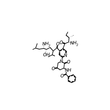 CC[C@H](C)[C@H](N)C(=O)c1cnc(N2CC(=O)CC(NC(=O)c3ccccc3)C2=O)cc1C(=O)C(C[C@H](O)[C@@H](N)CC(C)C)C(C)C